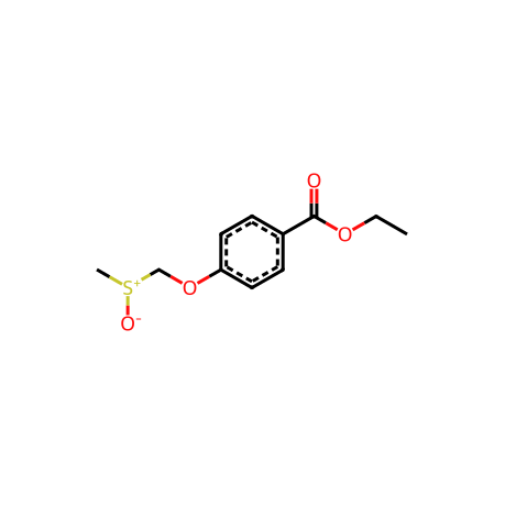 CCOC(=O)c1ccc(OC[S+](C)[O-])cc1